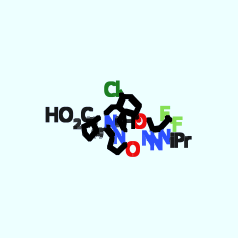 CC(C)n1nnc(COc2ccc(Cl)c3c2[C@H]2CN4C(=O)CCC4=C([C@@H]4CCC[C@]4(C)C(=O)O)N2CC3)c1C(F)F